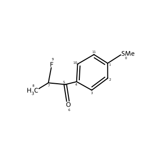 CSc1ccc(C(=O)C(C)F)cc1